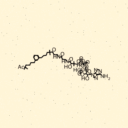 CC(=O)C(C)(C)CCCCc1cccc(CCCCC(C)(C)C(=O)CCNC(=O)CCNC(=O)C(O)C(C)(C)COP(=O)(O)OP(=O)(O)OCC2OC(n3cnc4c(N)ncnc43)C(O)C2OP(=O)(O)O)c1